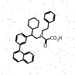 O=C(O)C(=O)N(CCc1ccccc1)CC(c1cccc(-c2cccc3ccccc23)c1)C1CCCCC1